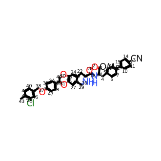 COC(=O)[C@H](Cc1ccc(-c2ccc(C#N)cc2)cc1)NC(=O)C1Cc2cc3c(cc2CN1)O[C@@H](c1ccc(OCc2ccc(C)c(Cl)c2)cc1)CO3